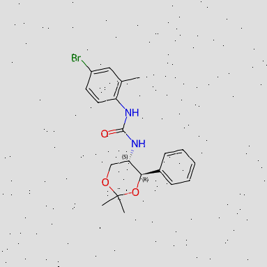 Cc1cc(Br)ccc1NC(=O)N[C@H]1COC(C)(C)O[C@@H]1c1ccccc1